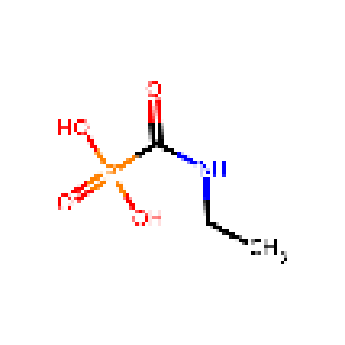 CCNC(=O)P(=O)(O)O